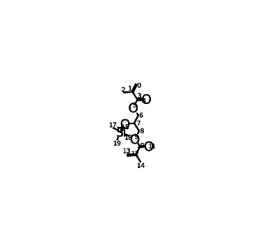 C=C(C)C(=O)OCC(COC(=O)C(=C)C)O[Si](C)(C)C